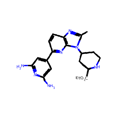 CCOC(=O)C1CC(n2c(C)nc3ccc(-c4cc(N)nc(N)c4)nc32)CCN1